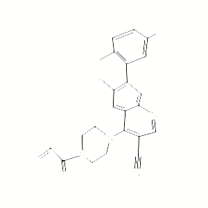 C=CC(=O)N1CCN(c2c(C#N)cnc3cc(-c4cc(O)ccc4F)c(Cl)cc23)CC1